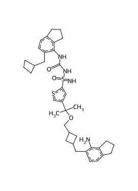 CC(C)(OCC1CC(Cc2ccc3c(c2N)CCC3)C1)c1csc(S(=N)(=O)NC(=O)Nc2c(CC3CCC3)ccc3c2CCC3)c1